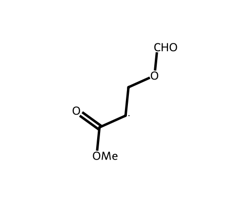 COC(=O)[CH]COC=O